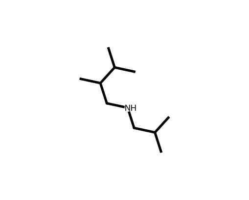 CC(C)CNCC(C)C(C)C